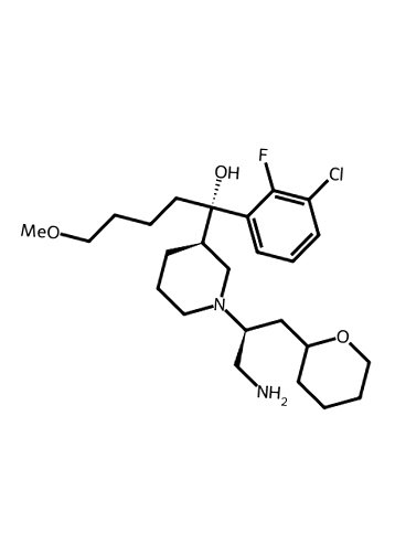 COCCCC[C@@](O)(c1cccc(Cl)c1F)[C@@H]1CCCN([C@H](CN)CC2CCCCO2)C1